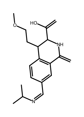 C=C1NC(C(=C)O)C(CCOC)c2ccc(/C=N\C(C)C)cc21